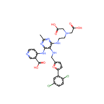 Cc1nc(NCCN(CC(=O)O)CC(=O)O)c(NCc2ccc(-c3cc(Cl)ccc3Cl)o2)c(Nc2ccncc2C(=O)O)n1